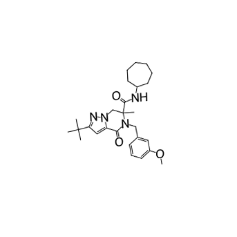 COc1cccc(CN2C(=O)c3cc(C(C)(C)C)nn3CC2(C)C(=O)NC2CCCCCC2)c1